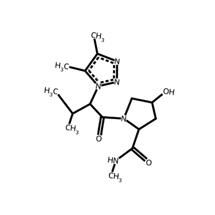 CNC(=O)C1CC(O)CN1C(=O)C(C(C)C)n1nnc(C)c1C